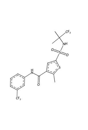 Cc1sc(S(=O)(=O)NC(C)(C)C(F)(F)F)cc1C(=O)Nc1cccc(C(F)(F)F)c1